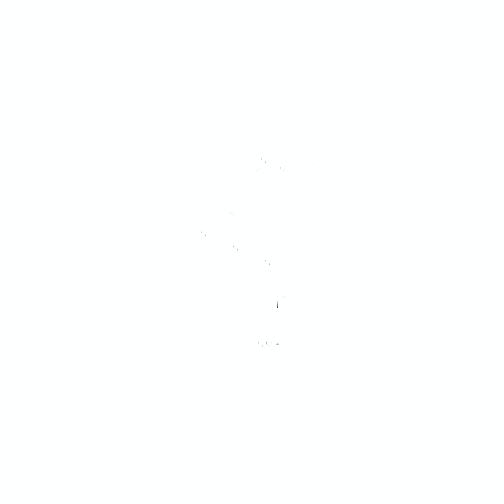 CNC(=O)O[C@@H]1CCN(c2cc(-c3cnn(C)c3Cl)nc(N)n2)C1